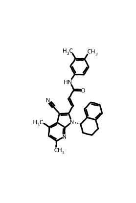 Cc1cc(C)c2c(C#N)c(/C=C/C(=O)Nc3ccc(C)c(C)c3)n([C@H]3CCCc4ccccc43)c2n1